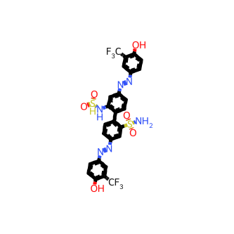 NS(=O)(=O)c1cc(N=Nc2ccc(O)c(C(F)(F)F)c2)ccc1-c1ccc(N=Nc2ccc(O)c(C(F)(F)F)c2)cc1N[SH](=O)=O